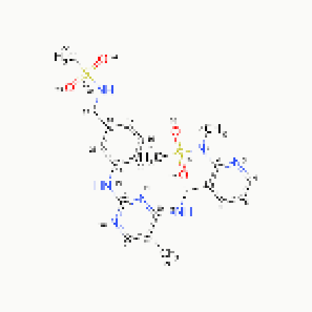 CN(c1ncccc1CNc1nc(Nc2cccc(CNS(C)(=O)=O)c2)ncc1C(F)(F)F)S(C)(=O)=O